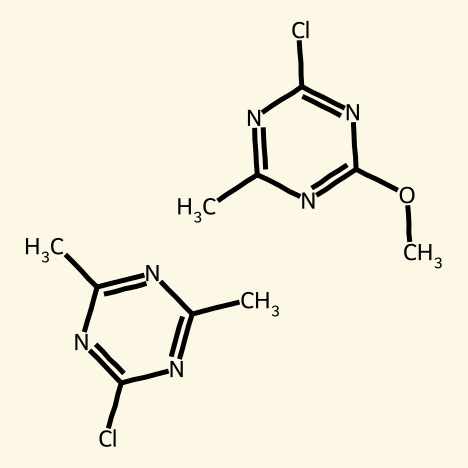 COc1nc(C)nc(Cl)n1.Cc1nc(C)nc(Cl)n1